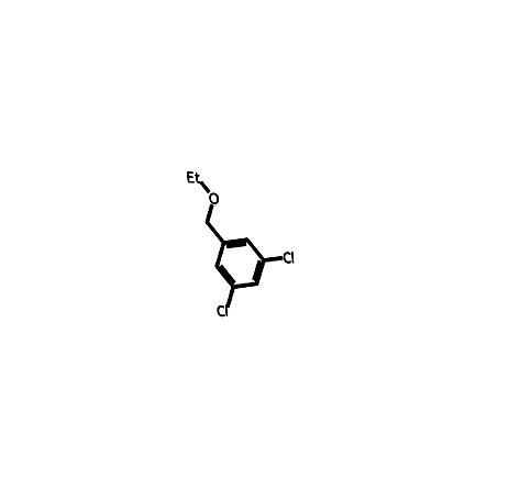 [CH2]COCc1cc(Cl)cc(Cl)c1